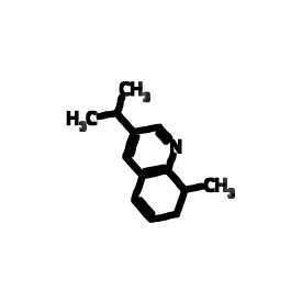 CC(C)c1cnc2c(c1)C=CCC2C